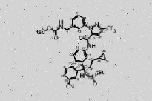 CC(C)(C)OC(=O)NCc1cccc(-n2nc(C(F)(F)F)cc2C(=O)Nc2cccc([C@](CCC3CC3)(N[S@+]([O-])C(C)(C)C)c3cccc(C#N)c3)c2)c1